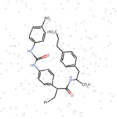 CC(C)CC(C(=O)NC(Cc1ccc(CCC(=O)O)cc1)C(=O)O)c1ccc(NC(=O)Nc2ccc([N+](=O)[O-])cc2)cc1